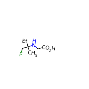 CCC(C)(CF)NCC(=O)O